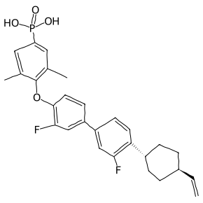 C=C[C@H]1CC[C@H](c2ccc(-c3ccc(Oc4c(C)cc(P(=O)(O)O)cc4C)c(F)c3)cc2F)CC1